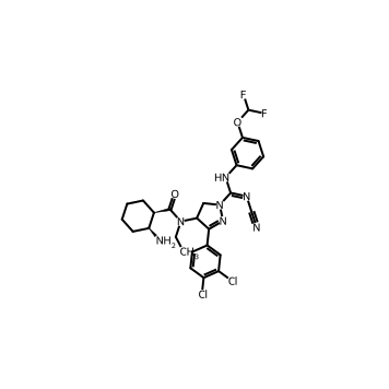 CCN(C(=O)[C@@H]1CCCC[C@@H]1N)C1CN(/C(=N\C#N)Nc2cccc(OC(F)F)c2)N=C1c1ccc(Cl)c(Cl)c1